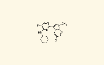 Cn1cc(-c2ncc(F)c(NC3CCCCC3)n2)c2cc(Cl)cnc21